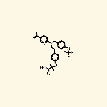 C=C(C)c1ccc(N(CCc2ccc(OC(C)(C)C(=O)O)cc2)Cc2ccc(OC(F)(F)F)cc2)nc1